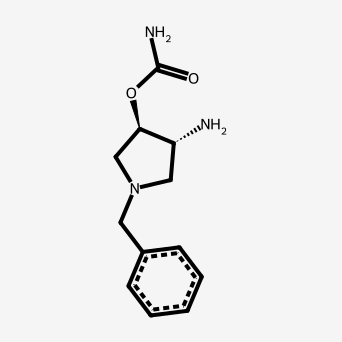 NC(=O)O[C@@H]1CN(Cc2ccccc2)C[C@H]1N